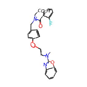 CN(CCOc1ccc(CN(CC(=O)O)C(=O)c2ccccc2F)cc1)c1nc2ccccc2o1